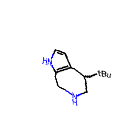 CC(C)(C)C1CNCc2[nH]ccc21